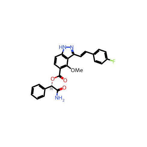 COc1c(C(=O)O[C@H](C(N)=O)c2ccccc2)ccc2[nH]nc(C=Cc3ccc(F)cc3)c12